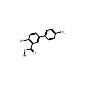 Cc1ccc(-c2ccc(C(C)C)c(C(=O)OC(C)C)c2)cc1